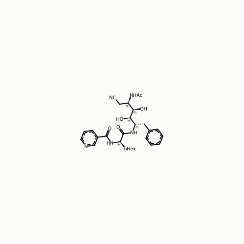 CCCCCC[C@@H](NC(=O)c1cccnc1)C(=O)N[C@@H](Cc1ccccc1)[C@@H](O)[C@H](O)[C@@H](CC#N)NC(C)=O